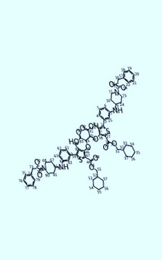 Cc1c(-c2cccc(NC3CCN(S(=O)(=O)Cc4ccccc4)CC3)c2)sc(C(=O)OCC2CCCCC2)c1OC(C(=O)O)C(Oc1c(C(=O)OCC2CCCCC2)sc(-c2cccc(NC3CCN(S(=O)(=O)Cc4ccccc4)CC3)c2)c1C)C(=O)O